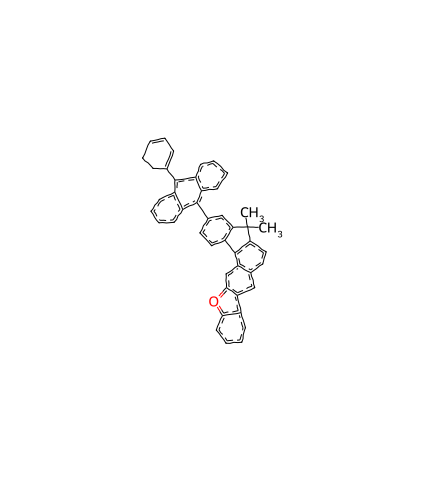 CC1(C)c2cc(-c3c4ccccc4c(C4=CC=CCC4)c4ccccc34)ccc2-c2c1ccc1cc3c(cc21)oc1ccccc13